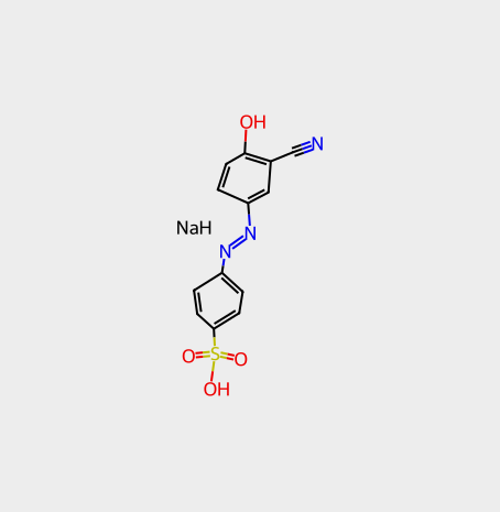 N#Cc1cc(N=Nc2ccc(S(=O)(=O)O)cc2)ccc1O.[NaH]